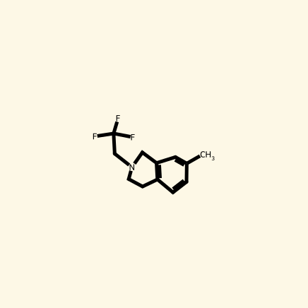 Cc1ccc2c(c1)CN(CC(F)(F)F)CC2